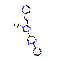 Cn1cc(-c2cnc(-c3cccc(F)c3)nc2)nc1/C=C/c1cccnc1